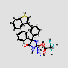 CN1C(=O)C(c2ccccc2)(c2cccc(-c3csc4ccccc34)c2)NC1(N)OC(=O)C(F)(F)F